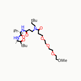 COCCOCCOCCOCCC(=O)N(CCC(=O)N[C@H](C(=O)N[C@@H](C)C(=O)C(C)(C)C)C(C)C)CCC(C)(C)C